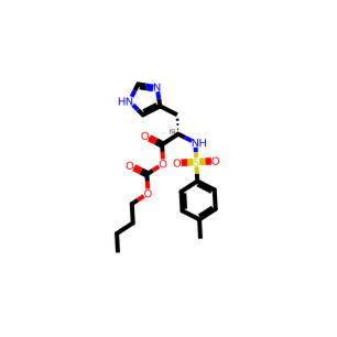 CCCCOC(=O)OC(=O)[C@H](Cc1c[nH]cn1)NS(=O)(=O)c1ccc(C)cc1